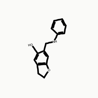 Oc1cc2c(cc1CNc1ccccc1)OCC2